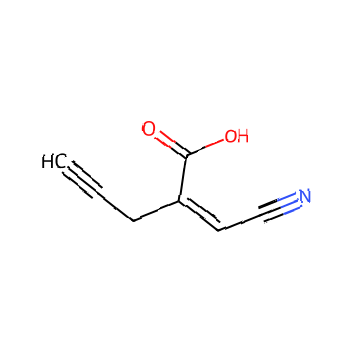 C#CCC(=CC#N)C(=O)O